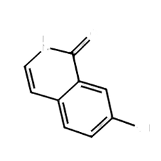 Cc1ccc2cc[nH]c(=O)c2c1